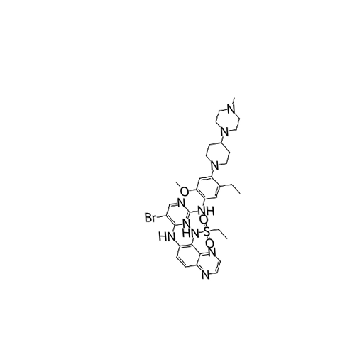 CCc1cc(Nc2ncc(Br)c(Nc3ccc4nccnc4c3NS(=O)(=O)CC)n2)c(OC)cc1N1CCC(N2CCN(C)CC2)CC1